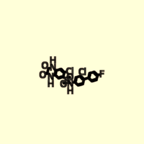 O=c1[nH]c2cc(Cl)c(S(=O)(=O)Nc3ccc(-c4ccc(F)cc4)c(Cl)c3)cc2[nH]c1=O